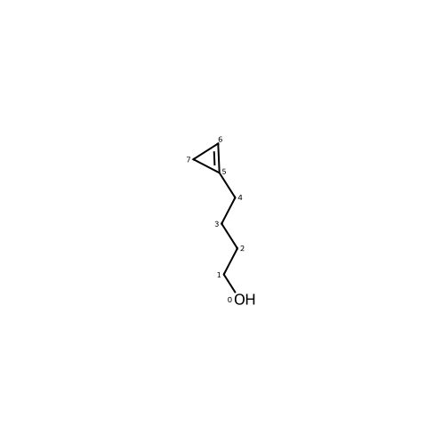 OCCCCC1=CC1